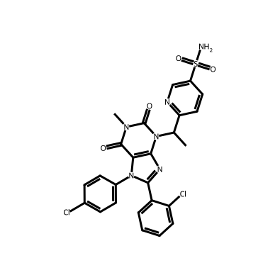 CC(c1ccc(S(N)(=O)=O)cn1)n1c(=O)n(C)c(=O)c2c1nc(-c1ccccc1Cl)n2-c1ccc(Cl)cc1